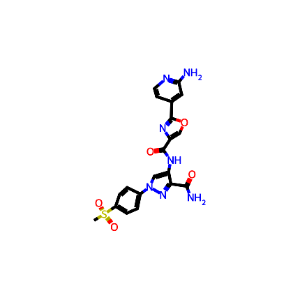 CS(=O)(=O)c1ccc(-n2cc(NC(=O)c3coc(-c4ccnc(N)c4)n3)c(C(N)=O)n2)cc1